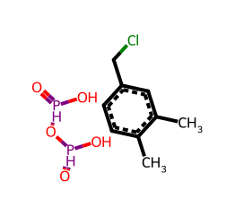 Cc1ccc(CCl)cc1C.O=[PH](O)O[PH](=O)O